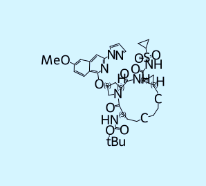 COc1ccc2c(O[C@@H]3C[C@H]4C(=O)N[C@]5(C(=O)NS(=O)(=O)C6CC6)C[C@H]5CCCCCCC[C@H](NC(=O)OC(C)(C)C)C(=O)N4C3)nc(-n3cccn3)cc2c1